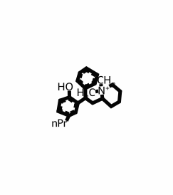 CCCc1ccc(O)c(C(CC2CCCC[N+]2(C)C)c2ccccc2)c1